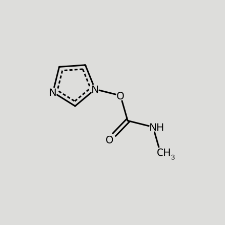 CNC(=O)On1ccnc1